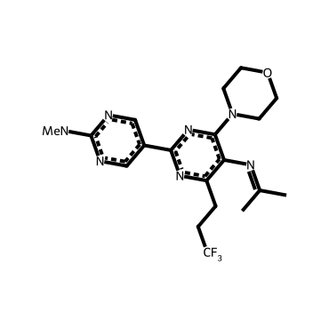 CNc1ncc(-c2nc(CCC(F)(F)F)c(N=C(C)C)c(N3CCOCC3)n2)cn1